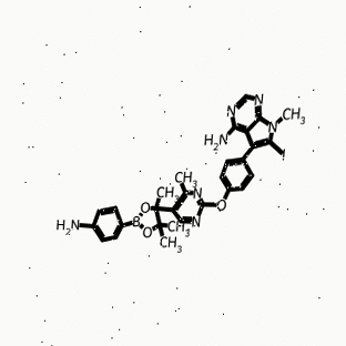 Cc1nc(Oc2ccc(-c3c(I)n(C)c4ncnc(N)c34)cc2)ncc1C1(C)OB(c2ccc(N)cc2)OC1(C)C